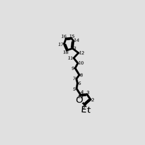 CCc1ccc(CCCCCCCCc2ccccc2)o1